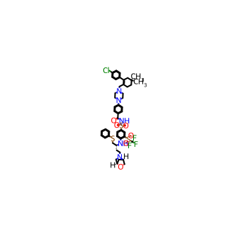 CC1(C)CCC(CN2CCN(c3ccc(C(=O)NS(=O)(=O)c4ccc(N[C@H](CCN5C[C@H]6C[C@H]5CO6)CSc5ccccc5)c(S(=O)(=O)C(F)(F)F)c4)cc3)CC2)=C(c2ccc(Cl)cc2)C1